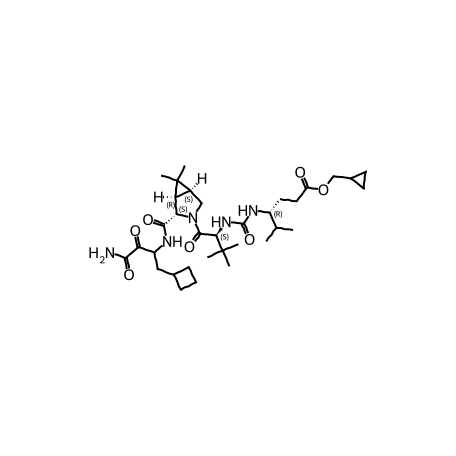 CC(C)[C@@H](CCC(=O)OCC1CC1)NC(=O)N[C@H](C(=O)N1C[C@H]2[C@@H]([C@H]1C(=O)NC(CC1CCC1)C(=O)C(N)=O)C2(C)C)C(C)(C)C